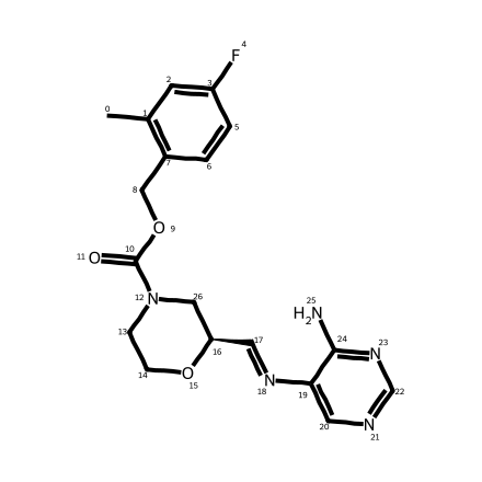 Cc1cc(F)ccc1COC(=O)N1CCO[C@H](/C=N/c2cncnc2N)C1